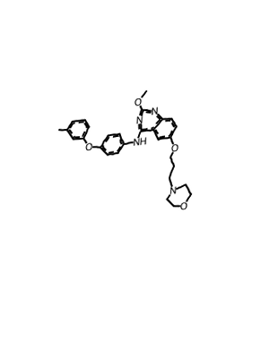 COc1nc(Nc2ccc(Oc3cccc(C)c3)cc2)c2cc(OCCCN3CCOCC3)ccc2n1